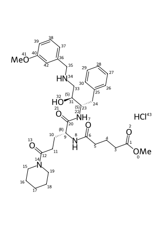 COC(=O)CCCC(=O)N[C@H](CCC(=O)N1CCCCC1)C(=O)N[C@@H](Cc1ccccc1)[C@@H](O)CNCc1cccc(OC)c1.Cl